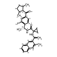 C=C(NC1(C(=O)N[C@H](C)c2ccc(C(=O)N3C(C)CCC3C)cc2F)CC1)c1cc2ccccc2nc1C